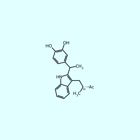 CC(=O)[C@H](C)Cc1c(C(C)c2ccc(O)c(O)c2)[nH]c2ccccc12